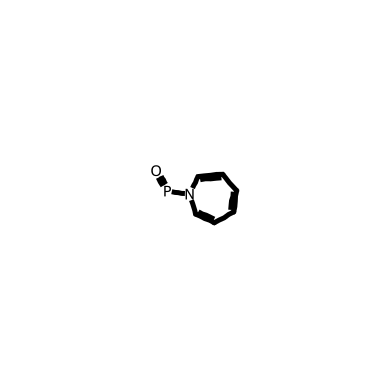 O=PN1C=CC=CC=C1